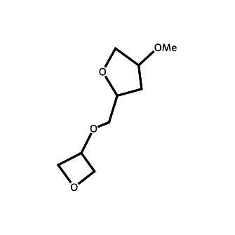 COC1COC(COC2COC2)C1